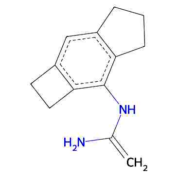 C=C(N)Nc1c2c(cc3c1CC3)CCC2